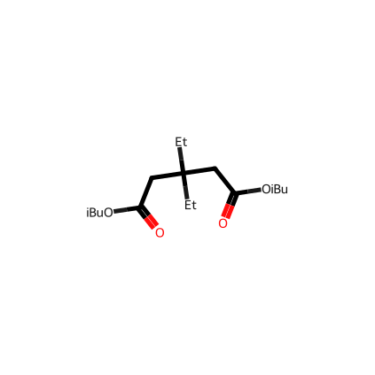 CCC(CC)(CC(=O)OCC(C)C)CC(=O)OCC(C)C